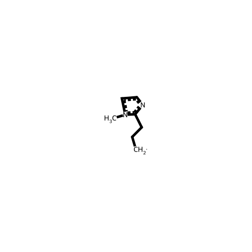 [CH2]CCc1nccn1C